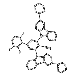 N#Cc1c(-n2c3ccccc3c3cc(-c4ccccc4)ccc32)cc(-c2c(F)ccc(F)c2F)cc1-n1c2ccccc2c2cc(-c3ccccc3)ccc21